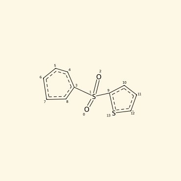 O=S(=O)(c1ccccc1)c1cc[c]s1